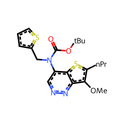 CCCc1sc2c(N(Cc3cccs3)C(=O)OC(C)(C)C)cnnc2c1OC